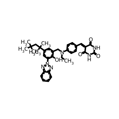 CCN(Cc1cc(C(C)(C)CC(C)(C)C)cc(-n2nc3ccccc3n2)c1O)c1ccc(C=C2C(=O)NC(=O)NC2=O)cc1